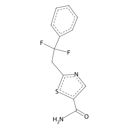 NC(=O)c1cnc(CC(F)(F)c2ccccc2)s1